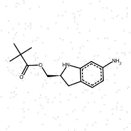 CC(C)(C)C(=O)OC[C@@H]1Cc2ccc(N)cc2N1